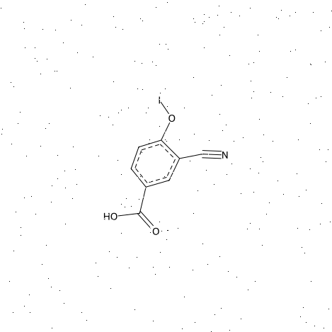 N#Cc1cc(C(=O)O)ccc1OI